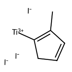 CC1=[C]([Ti+3])CC=C1.[I-].[I-].[I-]